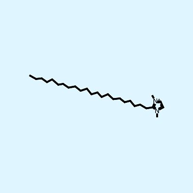 CCCCCCCCCCCCCCCCCCCCCCc1n(C)cc[n+]1C